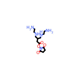 NCCNCC(CNCCN)CC(=O)ON1C(=O)CCC1=O